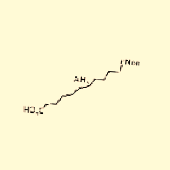 CCCCCCCCCCCCCCCCCCCC(=O)O.[AlH3]